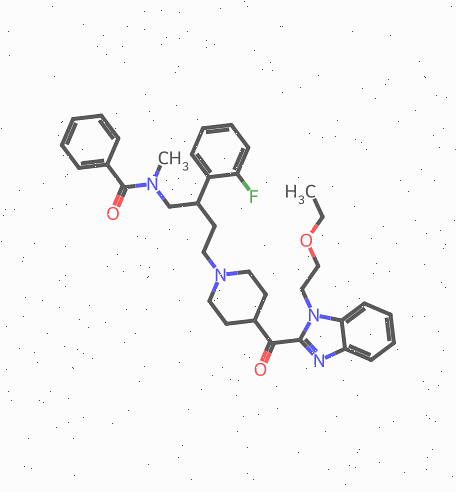 CCOCCn1c(C(=O)C2CCN(CCC(CN(C)C(=O)c3ccccc3)c3ccccc3F)CC2)nc2ccccc21